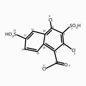 O=C(Cl)c1c(Cl)c(S(=O)(=O)O)c(Cl)c2cc(S(=O)(=O)O)ccc12